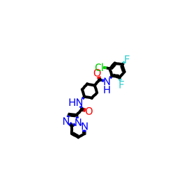 O=C(NC1CCC(C(=O)Nc2c(F)cc(F)cc2Cl)CC1)c1cnc2cccnn12